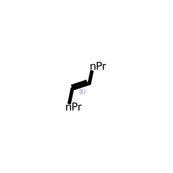 [CH2]CC/C=C/CC[CH2]